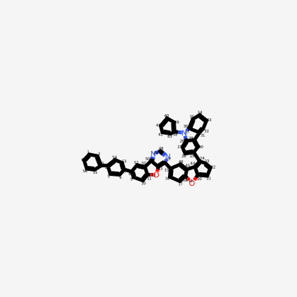 c1ccc(-c2ccc(-c3ccc4oc5c(-c6ccc7oc8cccc(-c9ccc%10c(c9)c9ccccc9n%10-c9ccccc9)c8c7c6)ncnc5c4c3)cc2)cc1